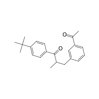 CC(=O)c1cccc(CC(C)C(=O)c2ccc(C(C)(C)C)cc2)c1